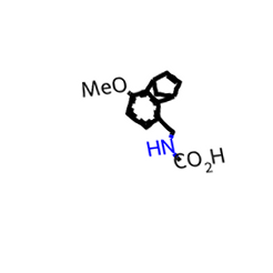 COc1ccc(CNC(=O)O)c2c1C1C=CC2C1